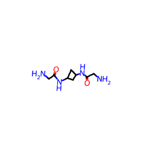 NCC(=O)NC1CC(NC(=O)CN)C1